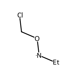 CC[N]OCCl